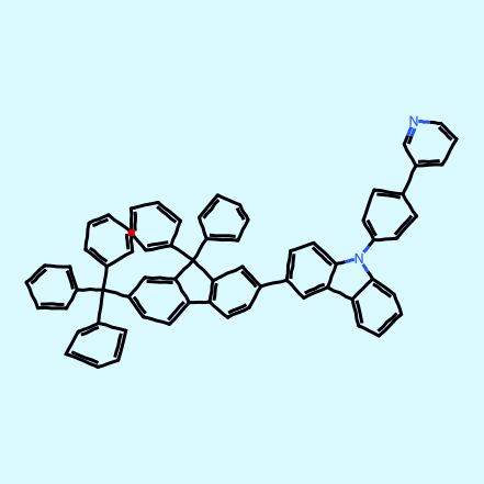 c1ccc(C(c2ccccc2)(c2ccccc2)c2ccc3c(c2)C(c2ccccc2)(c2ccccc2)c2cc(-c4ccc5c(c4)c4ccccc4n5-c4ccc(-c5cccnc5)cc4)ccc2-3)cc1